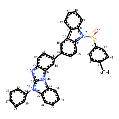 Cc1ccc([S+]([O-])n2c3ccccc3c3cc(-c4ccc5nc6n(-c7ccccc7)c7ccccc7n6c5c4)ccc32)cc1